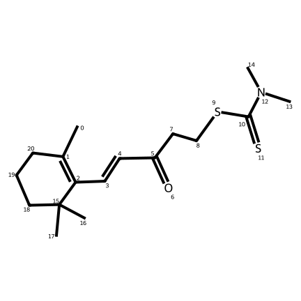 CC1=C(/C=C/C(=O)CCSC(=S)N(C)C)C(C)(C)CCC1